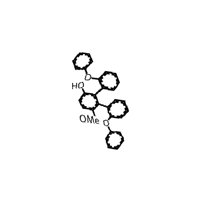 COc1ccc(O)c(-c2ccccc2Oc2ccccc2)c1-c1ccccc1Oc1ccccc1